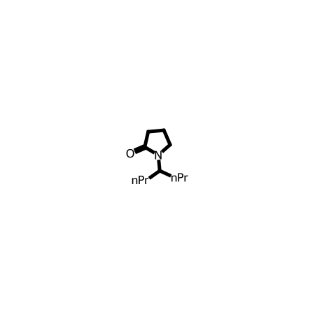 CCCC(CCC)N1CCCC1=O